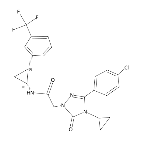 O=C(Cn1nc(-c2ccc(Cl)cc2)n(C2CC2)c1=O)N[C@@H]1C[C@@H]1c1cccc(C(F)(F)F)c1